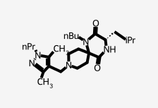 CCCCN1C(=O)[C@H](CC(C)C)NC(=O)C12CCN(Cc1c(C)nn(CCC)c1C)CC2